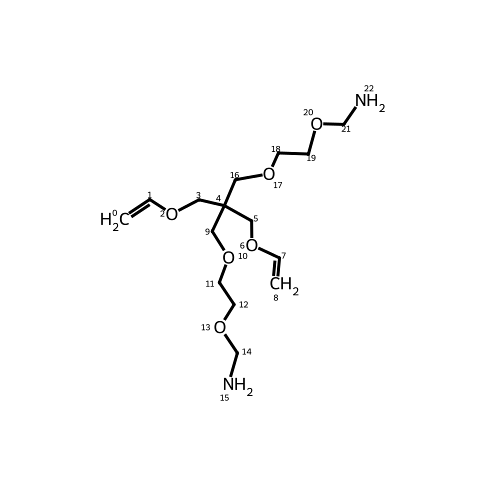 C=COCC(COC=C)(COCCOCN)COCCOCN